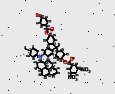 Cc1ccc(N(c2ccc(C(C)(c3ccc(OC(=O)c4ccc(Br)cc4)cc3)c3ccc(OC(=O)c4cc([N+](=O)[O-])cc([N+](=O)[O-])c4)cc3)cc2)c2ccc3ccc4cccc5ccc2c3c45)cc1